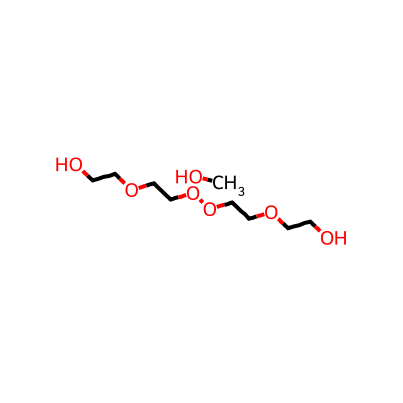 CO.OCCOCCOOCCOCCO